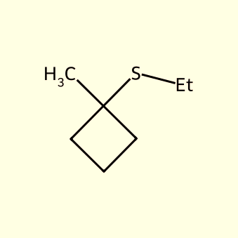 CCSC1(C)CCC1